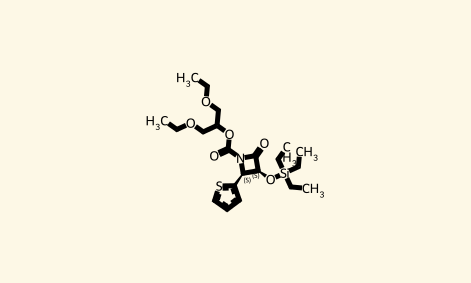 CCOCC(COCC)OC(=O)N1C(=O)[C@@H](O[Si](CC)(CC)CC)[C@H]1c1cccs1